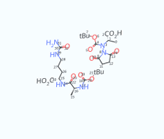 C[C@@H](C(=O)O)N(C(=O)OC(C)(C)C)N1C(=O)CCC1=O.C[C@H](NC(=O)OC(C)(C)C)C(=O)N[C@@H](CCCNC(N)=O)C(=O)O